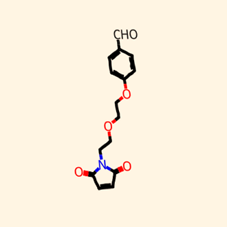 O=Cc1ccc(OCCOCCN2C(=O)C=CC2=O)cc1